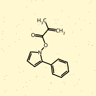 C=C(C)C(=O)On1cccc1-c1ccccc1